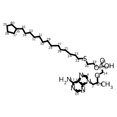 C[C@H](Cn1cnc2c(N)ncnc21)OCP(=O)(O)OCCSCCCCCCCCCCCCCCC1CCCC1